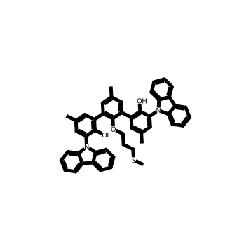 CSCCCOc1c(-c2cc(C)cc(-n3c4ccccc4c4ccccc43)c2O)cc(C)cc1-c1cc(C)cc(-n2c3ccccc3c3ccccc32)c1O